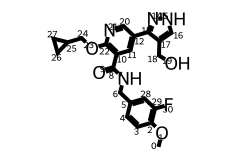 COc1ccc(CNC(=O)c2cc(-c3n[nH]cc3CO)cnc2OCC2CC2)cc1F